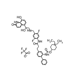 CC[N+]1(CC)CCC(OC(=O)Nc2cc(CCC(=O)Nc3cc(F)c(CNC[C@H](O)c4ccc(O)c5[nH]c(=O)ccc45)cc3F)ccc2-c2ccccc2)CC1.O=C([O-])C(F)(F)F